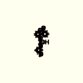 COc1cccc(OCC(O)COc2cccc3oc(=O)c4c(c23)CCCC4)c1